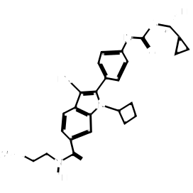 COCCN(C)C(=O)c1ccc2c(N)c(-c3ccc(NC(=O)O[C@H](C)C4CC4)cc3)n(C3CCC3)c2c1